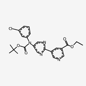 CCOC(=O)c1cncc(-c2ncc(N(C(=O)OC(C)(C)C)c3cccc(Cl)c3)cn2)c1